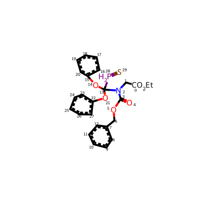 CCOC(=O)CN(C(=O)OCc1ccccc1)C(Oc1ccccc1)(Oc1ccccc1)[PH2]=S